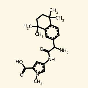 Cn1cc(NC(=O)C(N)c2ccc3c(c2)C(C)(C)CCC3(C)C)cc1C(=O)O